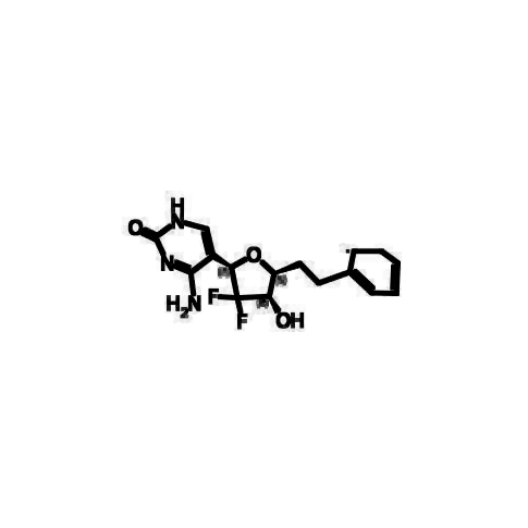 Nc1nc(=O)[nH]cc1[C@H]1O[C@@H](CCC2=CC=CC[CH]2)[C@@H](O)C1(F)F